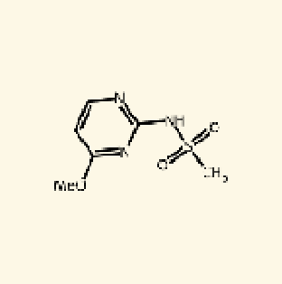 COc1ccnc(NS(C)(=O)=O)n1